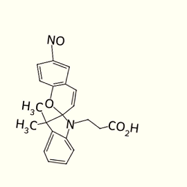 CC1(C)c2ccccc2N(CCC(=O)O)C12C=Cc1cc(N=O)ccc1O2